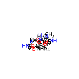 CC(=O)NC(C)(C)CCC(=O)Oc1cccc2[nH]cc(CCN(C)CCCOC(=O)NC(C)(C)CCC(=O)Oc3cccc4[nH]cc(CCN(C)C)c34)c12